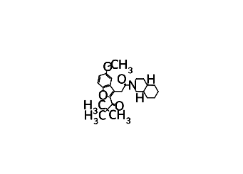 COc1ccc2oc(C(=O)C(C)(C)C)c(CC(=O)N3CC[C@H]4CCCC[C@H]4C3)c2c1